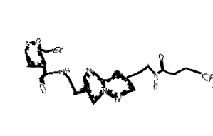 CCc1oncc1C(=O)NCc1cn2ncc(CNC(=O)CCC(F)(F)F)cc2n1